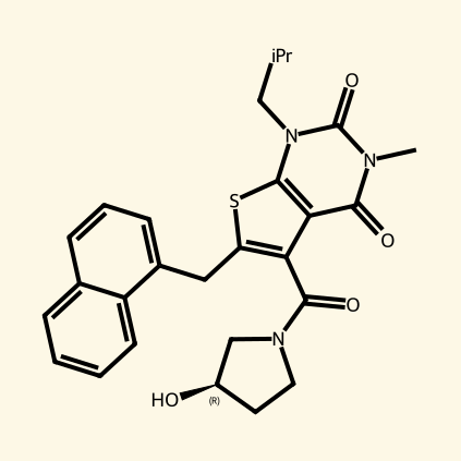 CC(C)Cn1c(=O)n(C)c(=O)c2c(C(=O)N3CC[C@@H](O)C3)c(Cc3cccc4ccccc34)sc21